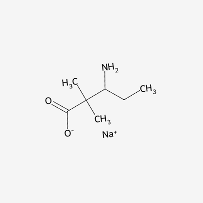 CCC(N)C(C)(C)C(=O)[O-].[Na+]